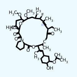 CCC1/C=C(\C)C(F)C(C)CC(OC)C2OC(O)(C(=O)C(=O)N3CCCCC3C(=O)OC(C(C)=CC3CCC(O)C(OC(C)C)C3)C(C)CCC1=O)C(C)CC2OC